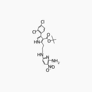 CC(C)(C)OC(=O)c1c(-c2ccc(Cl)cc2Cl)c[nH]c1CCCNc1ccc([N+](=O)[O-])c(N)n1